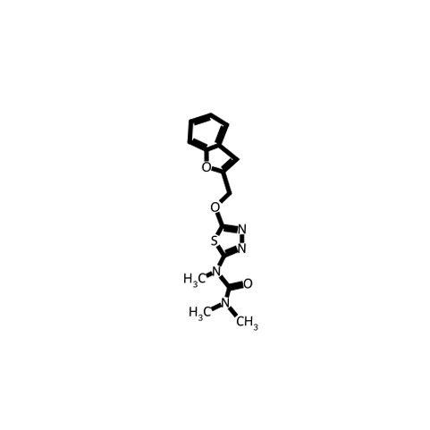 CN(C)C(=O)N(C)c1nnc(OCc2cc3ccccc3o2)s1